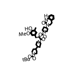 COc1cc(C[C@@H](OC(=O)N2CCC(N3CCc4ccccc4NC3=O)CC2)C(=O)N2CCC(C3CCN(C(=O)OC(C)(C)C)CC3)CC2)cc(C)c1O